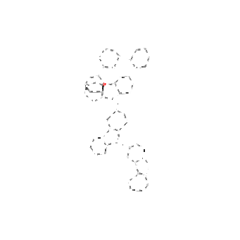 c1ccc(-c2cccc(-c3ccccc3)c2-c2cccc3c2c2ccccc2n3-c2ccc3c(c2)c2ccccc2n3-c2ccc3oc4ccccc4c3c2)cc1